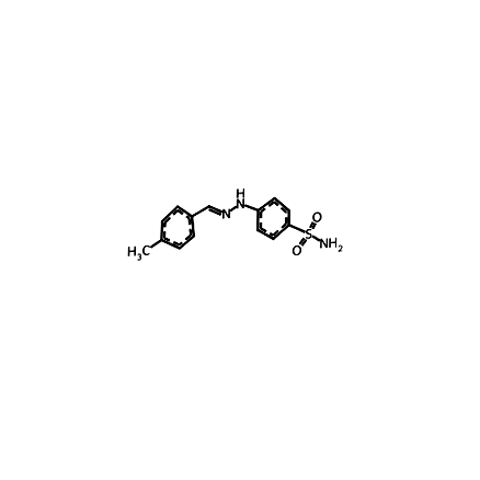 Cc1ccc(C=NNc2ccc(S(N)(=O)=O)cc2)cc1